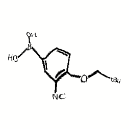 [C-]#[N+]c1cc(B(O)O)ccc1OCC(C)(C)C